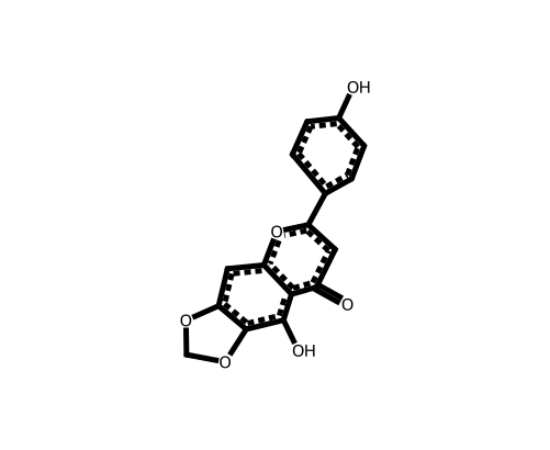 O=c1cc(-c2ccc(O)cc2)oc2cc3c(c(O)c12)OCO3